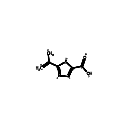 C=C(C)c1ncc(C(=O)O)s1